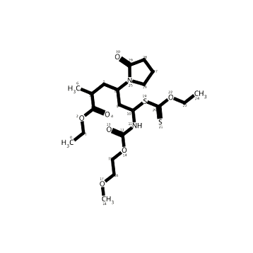 CCOC(=O)C(C)CC(CC(NC(=O)OCCOC)SC(=S)OCC)N1CCCC1=O